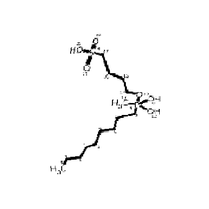 CCCCCCCCCP(C)(O)(O)OCCCCS(=O)(=O)O